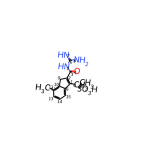 CC1=C(C(=O)NC(=N)N)Cc2c(C)cccc21.CS(=O)(=O)O